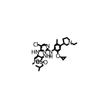 CCN1CCCC(c2cc(OC3CC3)c(Nc3ncc(Cl)c(N/C(=C/NC)C(=N)S(=O)(=O)CC(C)C)n3)cc2C)C1